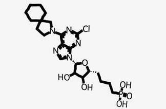 O=P(O)(O)CCCC[C@H]1O[C@@H](n2cnc3c(N4CCC5(CCCCC5)C4)nc(Cl)nc32)C(O)C1O